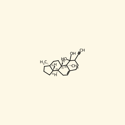 C#CC1CCC2=CC[C@H]3[C@@H]4CCC[C@@]4(C)CC[C@@H]3[C@@]2(C)C1(O)O